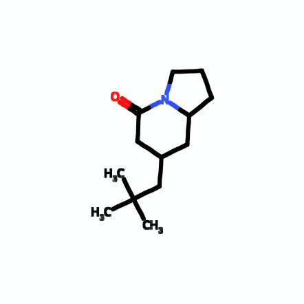 CC(C)(C)CC1CC(=O)N2CCCC2C1